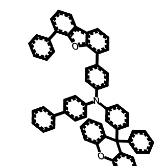 c1ccc(-c2ccc(N(c3ccc(-c4cccc5c4oc4c(-c6ccccc6)cccc45)cc3)c3cccc(C4(c5ccccc5)c5ccccc5Oc5ccccc54)c3)cc2)cc1